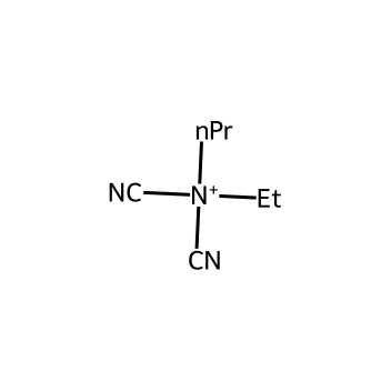 CCC[N+](C#N)(C#N)CC